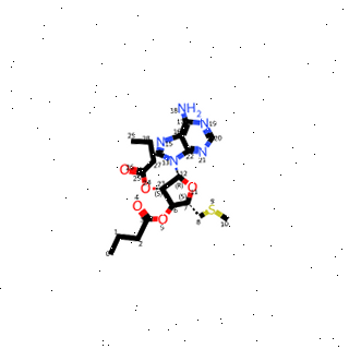 CCCC(=O)OC1[C@@H](CSC)O[C@@H](n2cnc3c(N)ncnc32)[C@H]1OC(=O)CCC